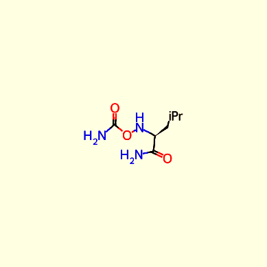 CC(C)C[C@H](NOC(N)=O)C(N)=O